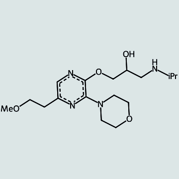 COCCc1cnc(OCC(O)CNC(C)C)c(N2CCOCC2)n1